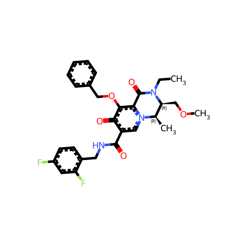 CCN1C(=O)c2c(OCc3ccccc3)c(=O)c(C(=O)NCc3ccc(F)cc3F)cn2[C@H](C)[C@@H]1COC